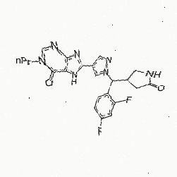 CCCn1cnc2nc(-c3cnn(C(c4ccc(F)cc4F)C4CNC(=O)C4)c3)[nH]c2c1=O